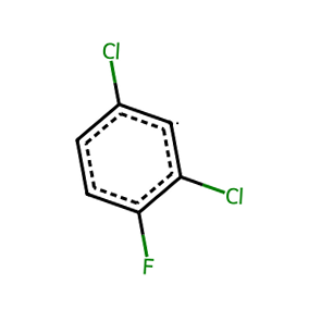 Fc1ccc(Cl)[c]c1Cl